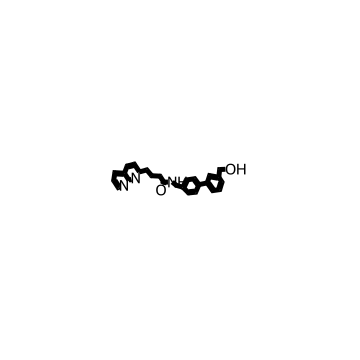 O=C(CCCc1ccc2cccnc2n1)NCc1ccc(-c2cccc(CO)c2)cc1